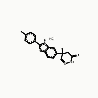 Cc1ccc(-c2nc3ccc(C4(C)C=NNC(=O)C4)cc3[nH]2)cc1.Cl